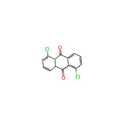 O=C1c2c(Cl)cccc2C(=O)C2C(Cl)=CC=CC12